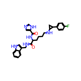 O=C(NC(CCCCNC1CC1c1ccc(F)cc1)C(=O)NCc1c[nH]c2ccccc12)c1cnc[nH]1